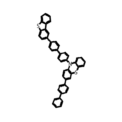 c1ccc(-c2ccc(-c3ccc4c(c3)Sc3ccccc3N4c3ccc(-c4ccc(-c5ccc6sc7ccccc7c6c5)cc4)cc3)cc2)cc1